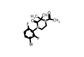 CC(=O)N1CCN(c2c(F)ccc(Br)c2F)C(=O)C1(C)C